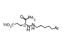 CC(=O)CCCCCNN[C@@H](CCC(=O)O)C(=O)P